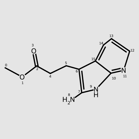 COC(=O)CCc1c(N)[nH]c2ncccc12